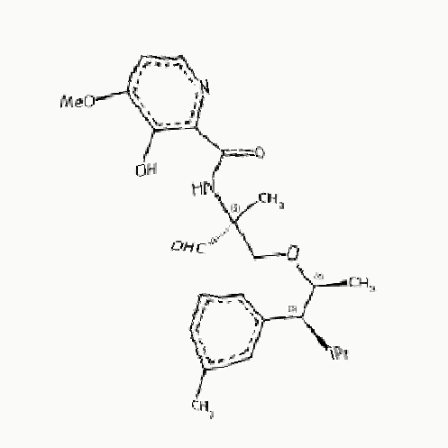 COc1ccnc(C(=O)N[C@](C)(C=O)CO[C@@H](C)[C@H](c2cccc(C)c2)C(C)C)c1O